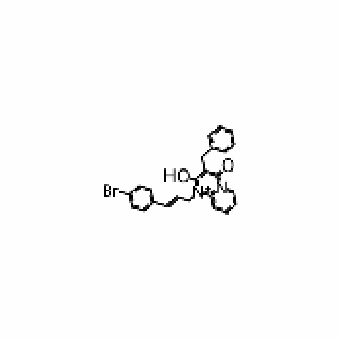 O=c1c(Cc2ccccc2)c(O)[n+](C/C=C/c2ccc(Br)cc2)c2ccccn12